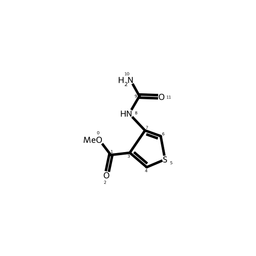 COC(=O)c1cscc1NC(N)=O